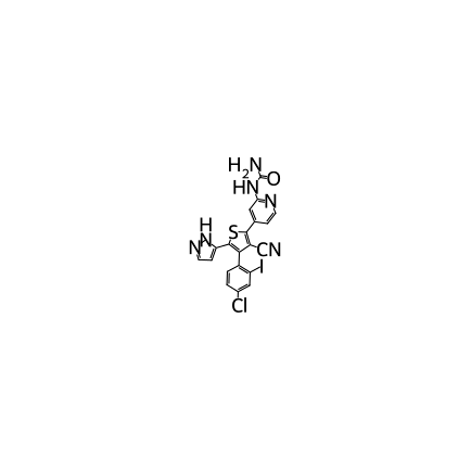 N#Cc1c(-c2ccnc(NC(N)=O)c2)sc(-c2ccn[nH]2)c1-c1ccc(Cl)cc1I